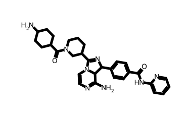 NC1=NC=CN2C(C3CCCN(C(=O)C4CCC(N)CC4)C3)=NC(c3ccc(C(=O)Nc4ccccn4)cc3)C12